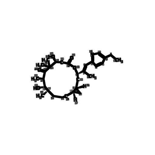 CCc1ccc(/C=C(\C)[C@@H]2C[C@@H]3C[C@H]3CCC[C@H](C)[C@H](O)[C@@H](C)C(=O)C(C)(C)[C@@H](O)CC(=O)O2)nc1